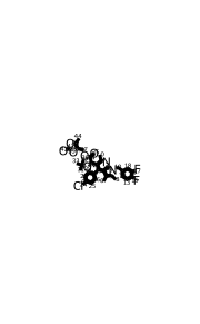 Cc1nc2c(c(C)c(C)n2Cc2ccc(F)c(F)c2)c(-c2ccc(Cl)cc2)c1[C@H](OC(C)(C)C)C(=O)OCc1oc(=O)oc1C